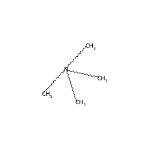 CCCCCCCCC=CCCCCCCCCN(CCCCCCCCC=CCCCCCCCC)C(CCCCCCCCCCCCCCCCCC)CCCCCCCCCCCCCCCCCC